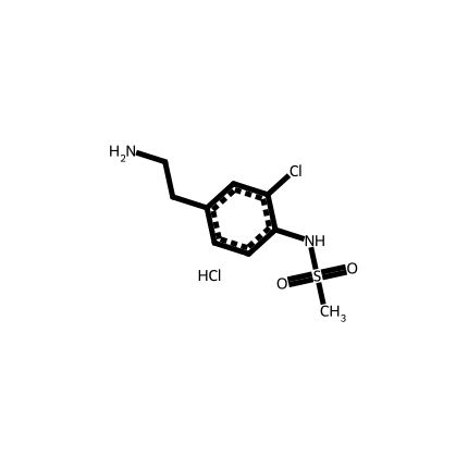 CS(=O)(=O)Nc1ccc(CCN)cc1Cl.Cl